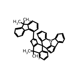 CC1(C)c2ccccc2C2(c3ccccc3-n3c4ccccc4c4cccc2c43)c2cc(-c3cccc4c3-c3ccccc3C4(C)C)ccc21